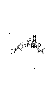 O=C(Nc1c[nH]c2ccc(OCc3ccc(C(F)(F)F)cc3)cc12)C1CC12CC2